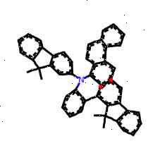 CC1(C)c2ccccc2-c2ccc(N(c3ccccc3-c3cccc4c3C(C)(C)c3ccccc3-4)c3cccc4c3ccc3ccccc34)cc21